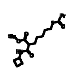 CC(C)C(=O)SCCCCCC(C(=O)NC1CCC1)C(=O)OC(C)(C)C